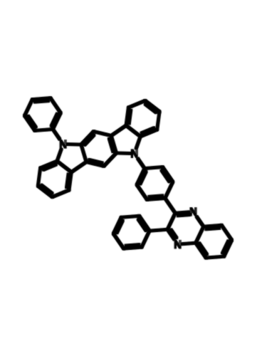 c1ccc(-c2nc3ccccc3nc2-c2ccc(-n3c4ccccc4c4cc5c(cc43)c3ccccc3n5-c3ccccc3)cc2)cc1